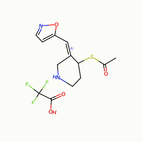 CC(=O)SC1CCNC/C1=C\c1ccno1.O=C(O)C(F)(F)F